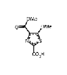 COC(=O)c1nc(C(=O)O)sc1OC